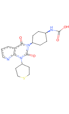 O=C(O)N[C@H]1CC[C@@H](n2c(=O)c3cccnc3n(C3CCSCC3)c2=O)CC1